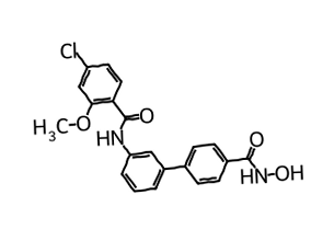 COc1cc(Cl)ccc1C(=O)Nc1cccc(-c2ccc(C(=O)NO)cc2)c1